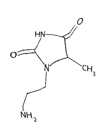 CC1C(=O)NC(=O)N1CCN